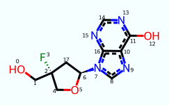 OC[C@]1(F)CO[C@H](n2cnc3c(O)ncnc32)C1